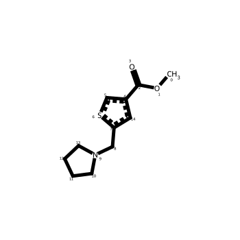 COC(=O)c1csc(CN2CCCC2)c1